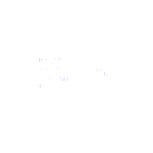 COC(=O)C(CCOc1ccc(/C([C]=O)=N\O)cc1)NC(=O)OC(C)(C)C